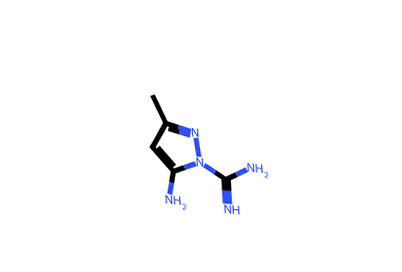 Cc1cc(N)n(C(=N)N)n1